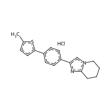 Cc1ccc(-c2ccc(-c3cn4c(n3)CCCC4)cc2)s1.Cl